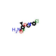 NC(=O)c1cc(C2CC2)c(O[C@@H]2CCCN(Cc3cccc(Cl)c3)C2)cc1F